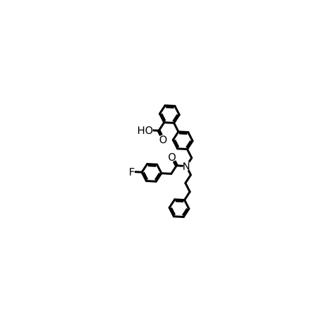 O=C(O)c1ccccc1-c1ccc(CN(CCCc2ccccc2)C(=O)Cc2ccc(F)cc2)cc1